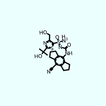 CC(C)(O)c1nc(CO)c(S(N)(=O)=NC(=O)Nc2c3c(c(C#N)c4c2CCC4)CCC3)s1